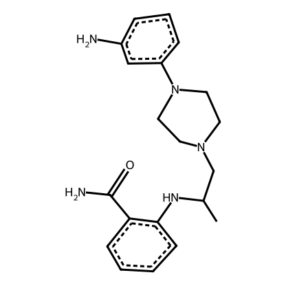 CC(CN1CCN(c2cccc(N)c2)CC1)Nc1ccccc1C(N)=O